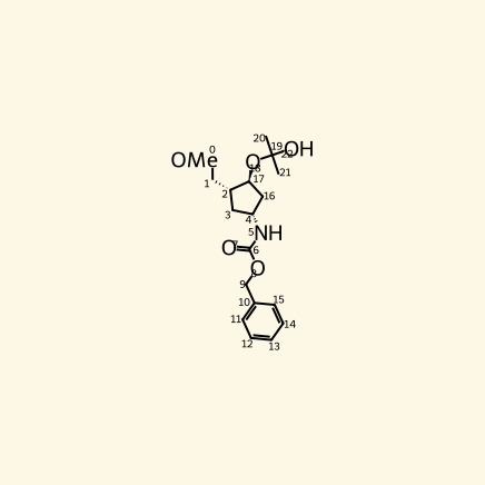 COC[C@H]1C[C@@H](NC(=O)OCc2ccccc2)C[C@@H]1OC(C)(C)O